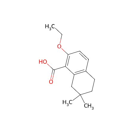 CCOc1ccc2c(c1C(=O)O)CC(C)(C)CC2